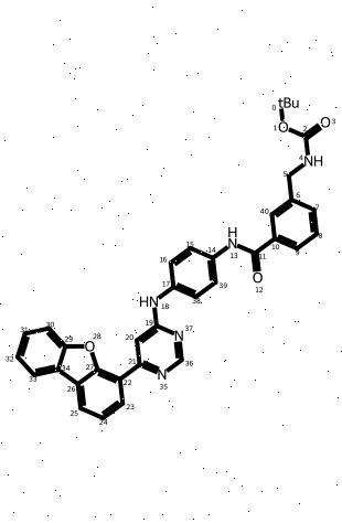 CC(C)(C)OC(=O)NCc1cccc(C(=O)Nc2ccc(Nc3cc(-c4cccc5c4oc4ccccc45)ncn3)cc2)c1